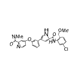 CNC(=O)c1cc(Oc2cccc(-c3c[nH]c(C(=O)Nc4cc(Cl)ccc4COC)c3)c2)ccn1